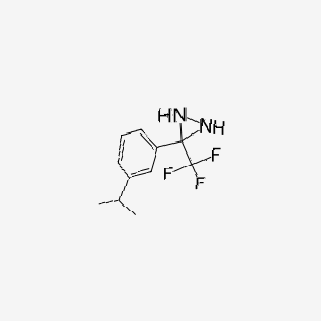 CC(C)c1cccc(C2(C(F)(F)F)NN2)c1